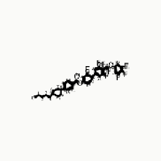 CCCCCC1CCC(c2ccc(C(=O)Oc3ccc(-c4cc(F)c(C(F)(F)Oc5cc(F)c(F)c(F)c5)c(F)c4)c(F)c3)cc2)CC1